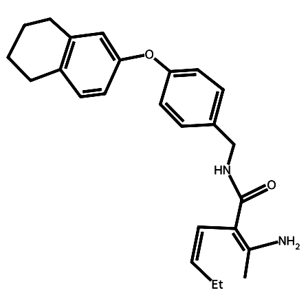 CC/C=C\C(C(=O)NCc1ccc(Oc2ccc3c(c2)CCCC3)cc1)=C(/C)N